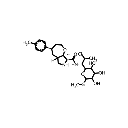 CSC1OC([C@H](NC(=O)[C@H]2NC[C@@H]3C[C@@H](c4ccc(C)cc4)CCO[C@H]32)[C@H](C)Cl)C(O)C(O)C1O